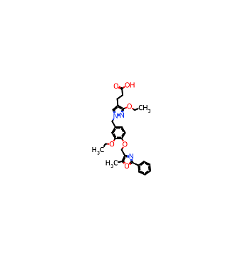 CCOc1cc(Cn2cc(CCC(=O)O)c(OCC)n2)ccc1OCc1nc(-c2ccccc2)oc1C